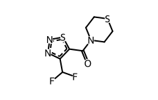 O=C(c1snnc1C(F)F)N1CCSCC1